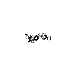 CCOC(=O)C(C)Oc1ccc(Sc2ncc(Cl)cn2)cc1